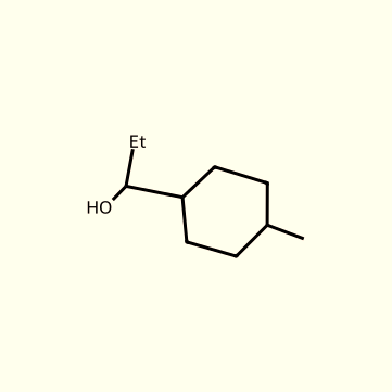 CCC(O)C1CCC(C)CC1